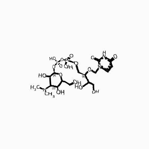 CN(C)C1C(O)[C@@H](OP(=O)(O)OP(=O)(O)OC[C@@H](OCn2ccc(=O)[nH]c2=O)C(O)CO)OC(CO)[C@H]1O